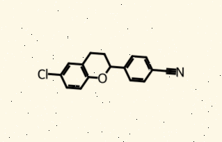 N#Cc1ccc(C2CCc3cc(Cl)ccc3O2)cc1